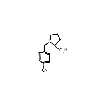 N#Cc1ccc(CN2CCCC2C(=O)O)cc1